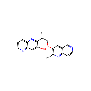 CC(C)c1nc2ccncc2cc1OCC(C)c1nc2cccnc2cc1O